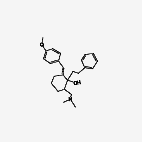 COc1ccc(/C=C2\CCCC(CN(C)C)C2(O)CCc2ccccc2)cc1